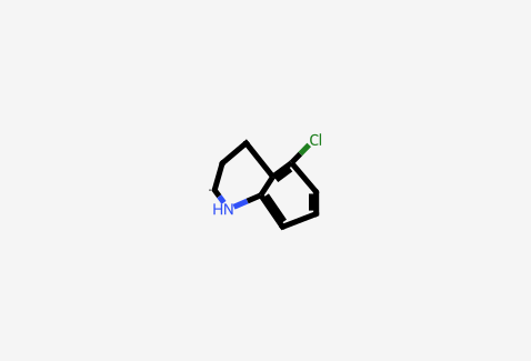 Clc1cccc2c1CC[CH]N2